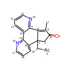 CC(=O)CC12CC(=O)C(C)=C1c1ncccc1-c1ncccc12